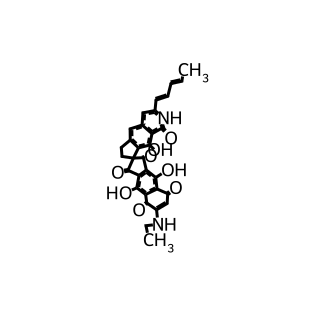 CC=CC=Cc1cc2cc3c(c(O)c2c(=O)[nH]1)C1(CC3)C(=O)c2c(O)c3c(c(O)c2C1=O)C(=O)C(NCC)=CC3=O